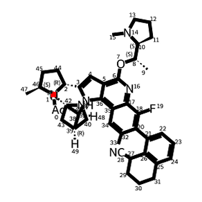 CC(=O)N1[C@@H](c2cc3c(O[C@@H](C)[C@@H]4CCCN4C)nc4c(F)c(-c5cccc6c5C(C#N)CCC6)c(C)cc4c3n2[C@H]2[C@H]3CN[C@@H]2C3)CC[C@@H]1C